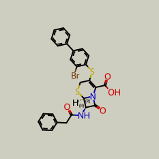 O=C(Cc1ccccc1)N[C@@H]1C(=O)N2C(C(=O)O)=C(Sc3ccc(-c4ccccc4)cc3Br)CS[C@H]12